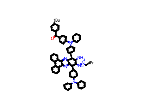 CC(C)C/N=N/c1c(N)c(-c2ccc(N(c3ccccc3)c3ccc(C(=O)c4ccc(C(C)(C)C)cc4)cc3)cc2)c2nc3c4ccccc4c4ccccc4c3nc2c1-c1ccc(N(c2ccccc2)c2ccccc2)cc1